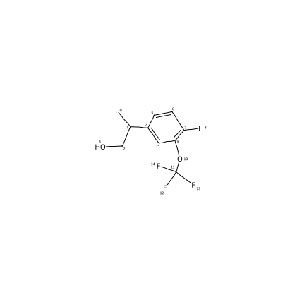 [CH2]C(CO)c1ccc(I)c(OC(F)(F)F)c1